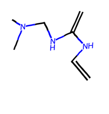 C=CNC(=C)NCN(C)C